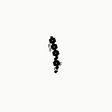 CCOCc1ccc(/C=C/c2ccc(-c3ccc(-c4ccc(C)cc4)c(F)c3F)cc2)cc1F